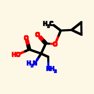 CC(OC(=O)C(N)(CN)C(=O)O)C1CC1